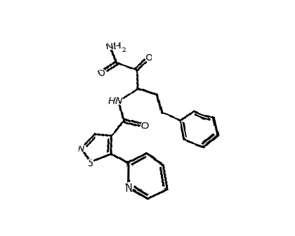 NC(=O)C(=O)C(CCc1ccccc1)NC(=O)c1cnsc1-c1ccccn1